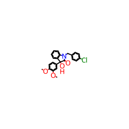 COc1ccc(C2(O)C(=O)N(Cc3ccc(Cl)cc3)c3ccccc32)cc1OC